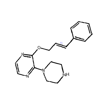 C(=C\c1ccccc1)/COc1nccnc1N1CCNCC1